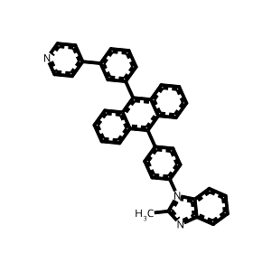 Cc1nc2ccccc2n1-c1ccc(-c2c3ccccc3c(-c3cccc(-c4ccncc4)c3)c3ccccc23)cc1